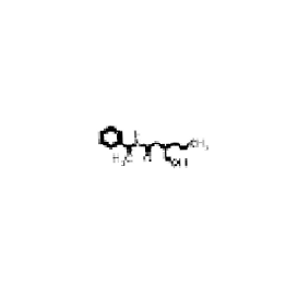 CCCC(CO)CC(=O)N[C@@H](C)c1ccccc1